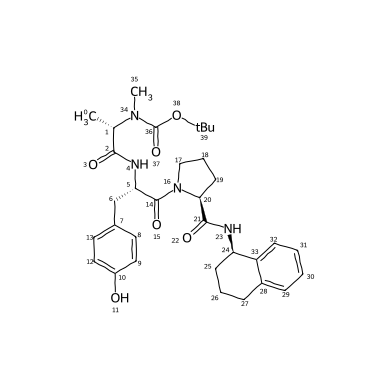 C[C@@H](C(=O)N[C@@H](Cc1ccc(O)cc1)C(=O)N1CCC[C@H]1C(=O)N[C@@H]1CCCc2ccccc21)N(C)C(=O)OC(C)(C)C